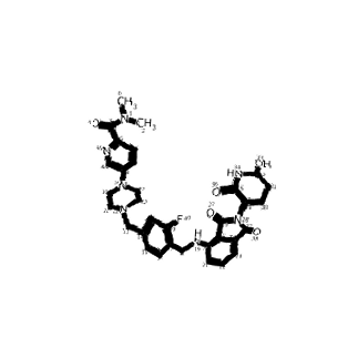 CN(C)C(=O)c1ccc(N2CCN(Cc3ccc(CNc4cccc5c4C(=O)N(C4CCC(O)NC4=O)C5=O)c(F)c3)CC2)cn1